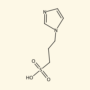 O=S(=O)(O)CCCn1ccnc1